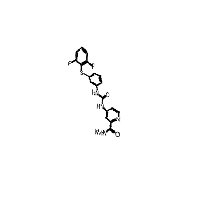 CNC(=O)c1cc(NC(=O)Nc2cccc(Sc3c(F)cccc3F)c2)ccn1